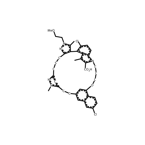 COCCn1nc2c(c1C)-c1c(Cl)ccc3c1c(C)c(C(=O)O)n3CCCOc1cc(cc3cc(Cl)ccc13)CCc1cc(nn1C)CSC2